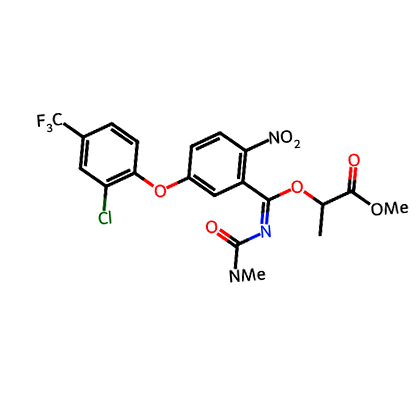 CNC(=O)N=C(OC(C)C(=O)OC)c1cc(Oc2ccc(C(F)(F)F)cc2Cl)ccc1[N+](=O)[O-]